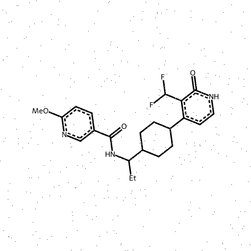 CCC(NC(=O)c1ccc(OC)nc1)C1CCC(c2cc[nH]c(=O)c2C(F)F)CC1